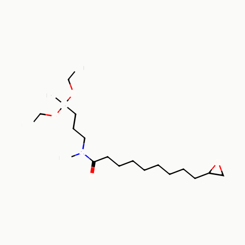 CCO[Si](C)(CCCN(C)C(=O)CCCCCCCCC1CO1)OCC